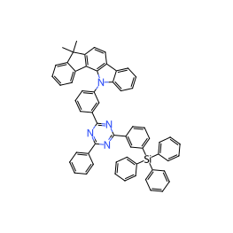 CC1(C)c2ccccc2-c2c1ccc1c3ccccc3n(-c3cccc(-c4nc(-c5ccccc5)nc(-c5cccc([Si](c6ccccc6)(c6ccccc6)c6ccccc6)c5)n4)c3)c21